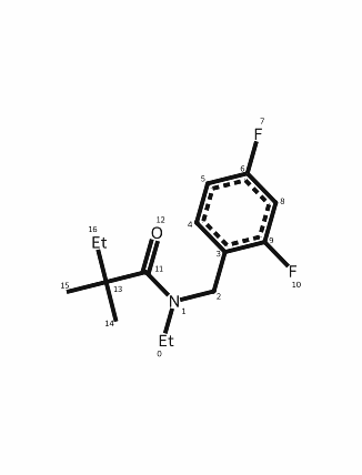 CCN(Cc1ccc(F)cc1F)C(=O)C(C)(C)CC